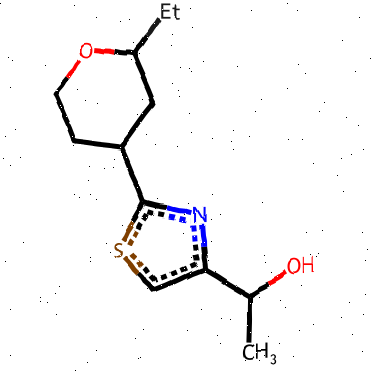 CCC1CC(c2nc(C(C)O)cs2)CCO1